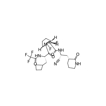 N#C[C@@H](C[C@H]1CCCNC1=O)NC(=O)[C@H]1[C@H]2CC[C@H](CC2(F)F)N1C(=O)[C@H](CC1CCC1)NC(=O)C(F)(F)F